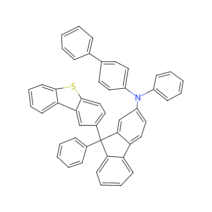 c1ccc(-c2ccc(N(c3ccccc3)c3ccc4c(c3)C(c3ccccc3)(c3ccc5sc6ccccc6c5c3)c3ccccc3-4)cc2)cc1